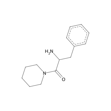 NC(Cc1ccccc1)C(=O)N1CCCCC1